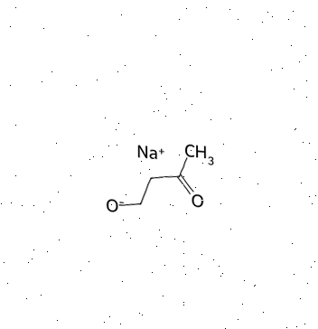 CC(=O)CC[O-].[Na+]